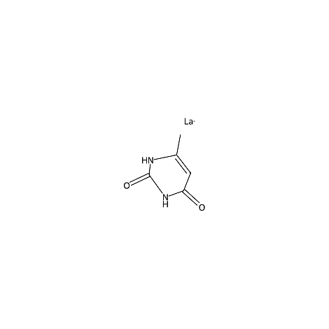 Cc1cc(=O)[nH]c(=O)[nH]1.[La]